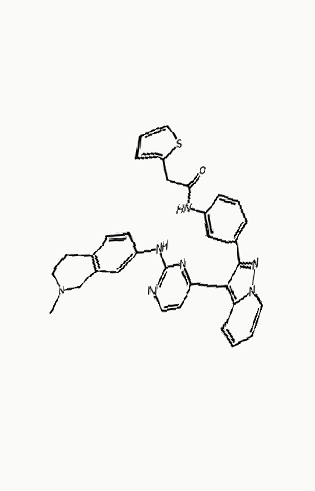 CN1CCc2ccc(Nc3nccc(-c4c(-c5cccc(NC(=O)Cc6cccs6)c5)nn5ccccc45)n3)cc2C1